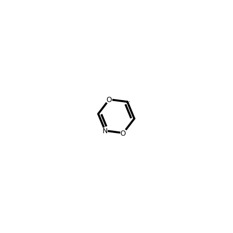 [C]1=CON=CO1